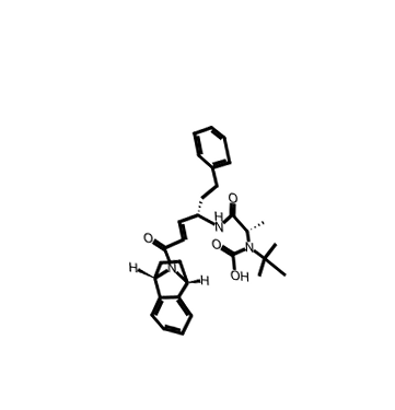 C[C@@H](C(=O)N[C@H](C=CC(=O)N1[C@@H]2CC[C@H]1c1ccccc12)CCc1ccccc1)N(C(=O)O)C(C)(C)C